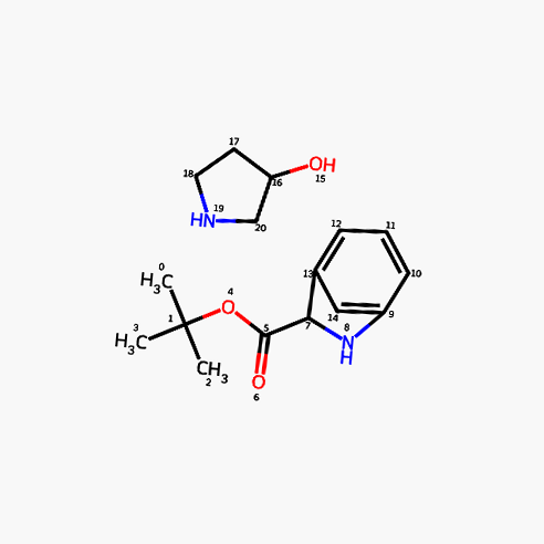 CC(C)(C)OC(=O)C1Nc2cccc1c2.OC1CCNC1